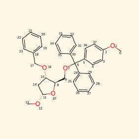 COc1ccc(C(OC[C@H]2O[C@H](OC)C[C@@H]2OCc2ccccc2)(c2ccccc2)c2ccccc2)cc1